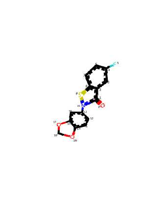 O=c1c2cc(F)ccc2sn1-c1ccc2c(c1)OCO2